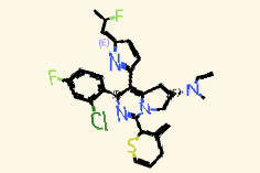 C=CN(C)[C@H]1CC2=C(C3=N/C(=C/C(C)F)C=C3)[C@H](c3ccc(F)cc3Cl)N=C(C3SC=CCC3=C)N2C1